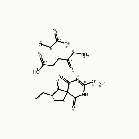 CCCC(C)C1(CC)C(=O)N=C([O-])NC1=O.NCC(=O)CCC(=O)O.O=C(O)CCl.[Na+]